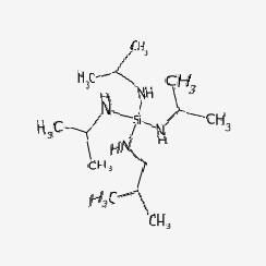 CC(C)CN[Si](NC(C)C)(NC(C)C)NC(C)C